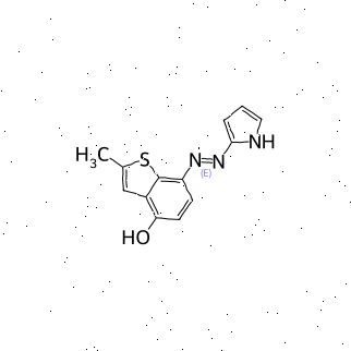 Cc1cc2c(O)ccc(/N=N/c3ccc[nH]3)c2s1